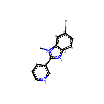 Cn1c(-c2cccnc2)nc2ccc(F)cc21